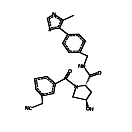 Cc1ncsc1-c1ccc(CNC(=O)[C@@H]2C[C@@H](O)CN2C(=O)c2cccc(CC#N)c2)cc1